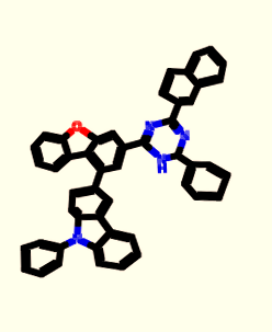 c1ccc(C2N=C(c3ccc4ccccc4c3)N=C(c3cc(-c4ccc5c(c4)c4ccccc4n5-c4ccccc4)c4c(c3)oc3ccccc34)N2)cc1